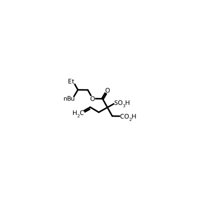 C=CCC(CC(=O)O)(C(=O)OCC(CC)CCCC)S(=O)(=O)O